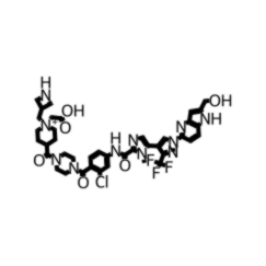 Cn1c(-c2cn(-c3ccc4[nH]c(CO)cc4n3)nc2C(F)(F)F)cnc1C(=O)Nc1ccc(C(=O)N2CCN(C(=O)C3CC[N+](CC(=O)O)(CC4CNC4)CC3)CC2)c(Cl)c1